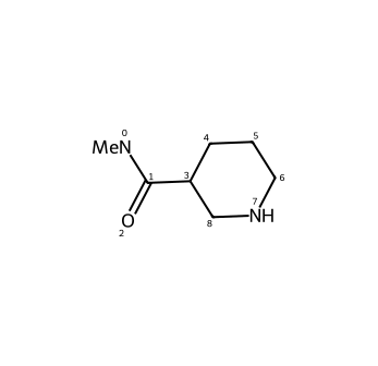 [CH2]NC(=O)C1CCCNC1